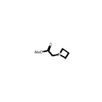 COC(=O)CN1CCC1